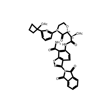 CC(=O)O[C@@H](C(=O)Nc1ccc2c(N3C(=O)c4ccccc4C3=O)nsc2c1C(N)=O)[C@H]1OCCN(c2cccc(C3(OC(C)=O)CCC3)n2)C1=O